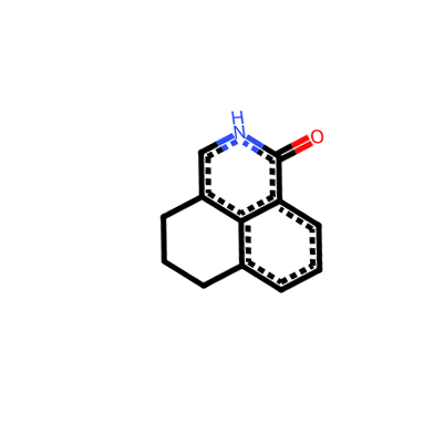 O=c1[nH]cc2c3c(cccc13)CCC2